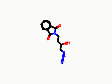 [N-]=[N+]=NCC(O)CCN1C(=O)c2ccccc2C1=O